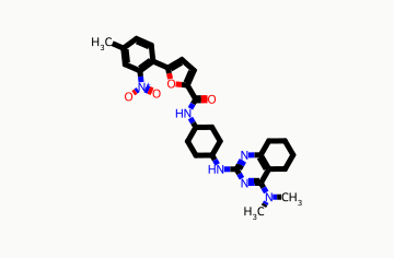 Cc1ccc(-c2ccc(C(=O)NC3CCC(Nc4nc5c(c(N(C)C)n4)CCCC5)CC3)o2)c([N+](=O)[O-])c1